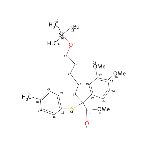 COC(=O)C(CCCCCO[Si](C)(C)C(C)(C)C)(Sc1ccc(C)cc1)c1ccc(OC)c(OC)c1